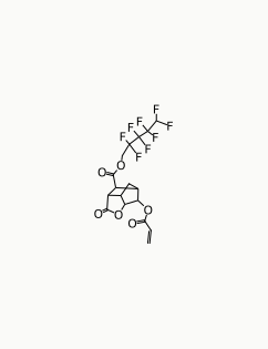 C=CC(=O)OC1C2CC3C1OC(=O)C3C2C(=O)OCC(F)(F)C(F)(F)C(F)(F)C(F)F